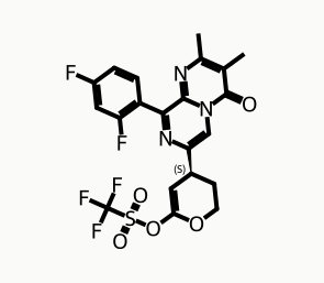 Cc1nc2c(-c3ccc(F)cc3F)nc([C@@H]3C=C(OS(=O)(=O)C(F)(F)F)OCC3)cn2c(=O)c1C